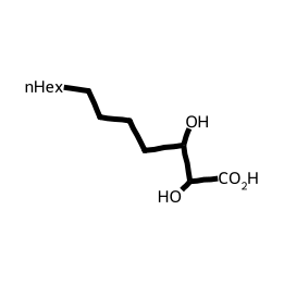 CCCCCCCCCCC(O)C(O)C(=O)O